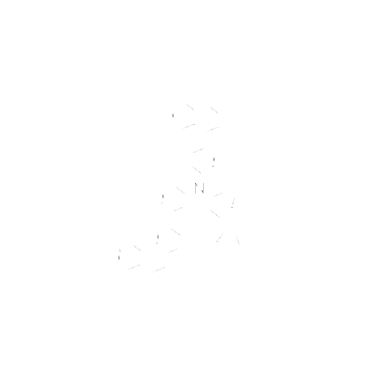 C1=C2C(=CCC1)C1CCCc3cc(N(c4ccc(-c5cccc6ccccc56)cc4)c4cccc(-c5ccc6ccc7ccccc7c6c5)c4)cc2c31